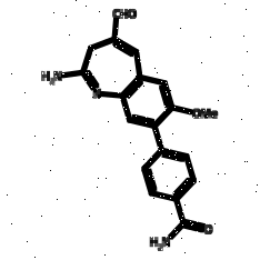 COc1cc2c(cc1-c1ccc(C(N)=O)cc1)N=C(N)CC(C=O)=C2